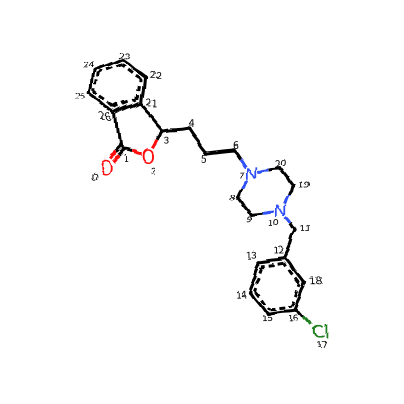 O=C1OC(CCCN2CCN(Cc3cccc(Cl)c3)CC2)c2ccccc21